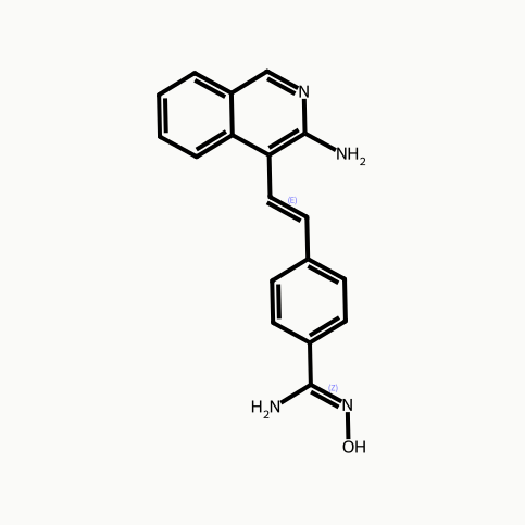 N/C(=N\O)c1ccc(/C=C/c2c(N)ncc3ccccc23)cc1